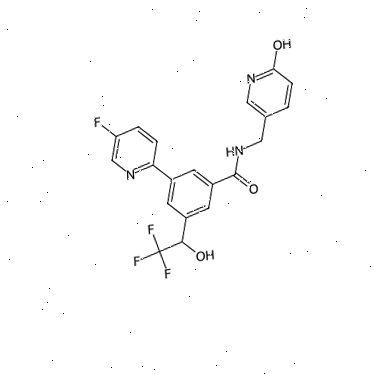 O=C(NCc1ccc(O)nc1)c1cc(-c2ccc(F)cn2)cc(C(O)C(F)(F)F)c1